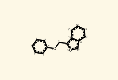 [c]1ccccc1OCc1occ2ccccc12